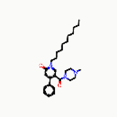 CCCCCCCCCCCn1cc(C(=O)N2CCN(C)CC2)c(-c2ccccc2)cc1=O